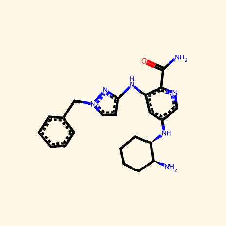 NC(=O)c1ncc(N[C@@H]2CCCC[C@@H]2N)cc1Nc1ccn(Cc2ccccc2)n1